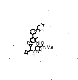 CCC(CC(C)C)N1C=C(c2cc(F)cc(Nc3cc(NC(=C4CCC4)C4CC4)nnc3C(=O)NC)c2C)C=CC1